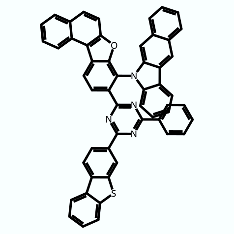 c1ccc(-c2nc(-c3ccc4c(c3)sc3ccccc34)nc(-c3ccc4c(oc5ccc6ccccc6c54)c3-n3c4ccccc4c4cc5ccccc5cc43)n2)cc1